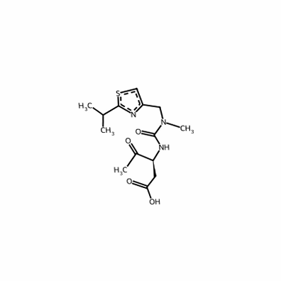 CC(=O)[C@H](CC(=O)O)NC(=O)N(C)Cc1csc(C(C)C)n1